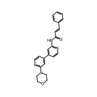 O=C(C=Cc1ccccc1)Nc1cc(-c2ccnc(N3CCOCC3)c2)ccn1